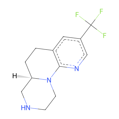 FC(F)(F)c1cnc2c(c1)CC[C@@H]1CNCCN21